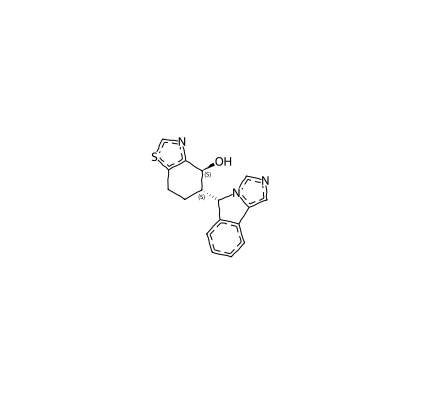 O[C@@H]1c2ncsc2CC[C@H]1C1c2ccccc2-c2cncn21